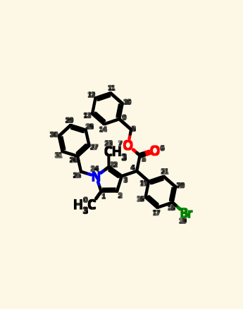 Cc1cc(C(C(=O)OCc2ccccc2)c2ccc(Br)cc2)c(C)n1Cc1ccccc1